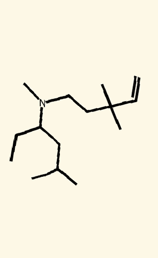 C=CC(C)(C)CCN(C)C(CC)CC(C)C